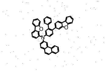 c1ccc(-c2cc(N(c3ccc4ccc5ccccc5c4c3)c3cccc4c3oc3ccccc34)ccc2-c2ccc3c(c2)oc2ccccc23)cc1